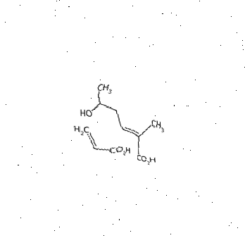 C=CC(=O)O.CC(=CCC(C)O)C(=O)O